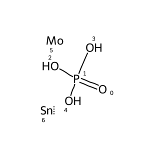 O=P(O)(O)O.[Mo].[Sn]